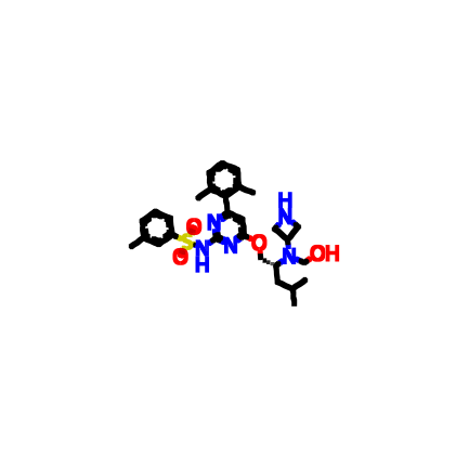 Cc1cccc(S(=O)(=O)Nc2nc(OC[C@@H](CC(C)C)N(CO)C3CNC3)cc(-c3c(C)cccc3C)n2)c1